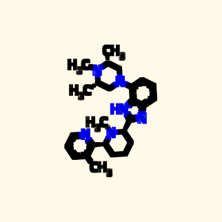 Cc1cccnc1[C@@H]1CCC[C@H](c2nc3cccc(N4C[C@@H](C)N(C)[C@@H](C)C4)c3[nH]2)N1C